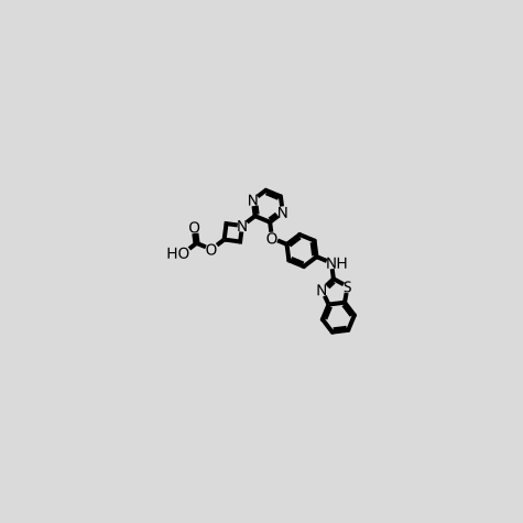 O=C(O)OC1CN(c2nccnc2Oc2ccc(Nc3nc4ccccc4s3)cc2)C1